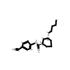 CCCCC[C@@H]1CCC[C@@H](C(=O)Oc2ccc(C#N)cc2)C1